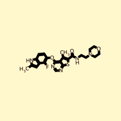 Cc1cc2c(F)c(Oc3ncnc4sc(C(=O)NCCN5CCOCC5)c(C)c34)ccc2[nH]1